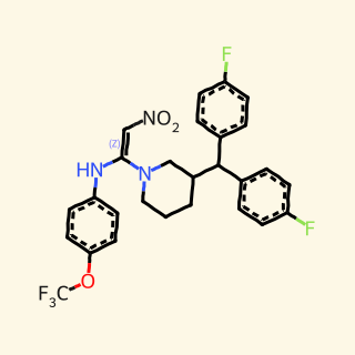 O=[N+]([O-])/C=C(/Nc1ccc(OC(F)(F)F)cc1)N1CCCC(C(c2ccc(F)cc2)c2ccc(F)cc2)C1